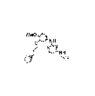 COc1ccc(Nc2nccc(NCC(F)(F)F)n2)cc1OCCCN1CCCC1